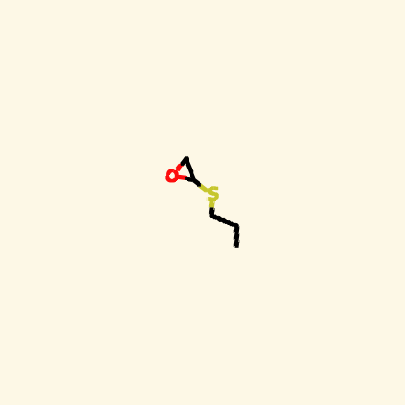 CCCSC1CO1